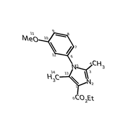 CCOC(=O)c1nc(C)n(-c2cccc(OC)c2)c1C